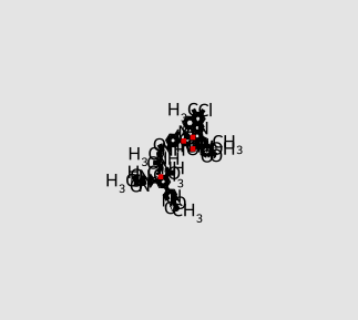 CC[C@@]1(O)C(=O)OCc2c1cc1n(c2=O)Cc2c-1nc1cc(Cl)c(C)c3c1c2[C@@H](N(Cc1ccc(NC(=O)[C@H](C)NC(=O)[C@@H](NC(=O)c2cc(-c4cnc(S(C)(=O)=O)nc4)cc(-c4cnc(S(C)(=O)=O)nc4)c2)C(C)C)cc1CNC)C(=O)O)CC3